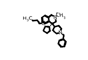 CCCCO[C@H]1CCC[C@@H]1C1(C2CCN(Cc3ccccc3)CC2)CN(C)Cc2ccccc21